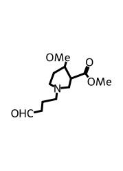 COC(=O)C1CN(CCCC=O)CCC1OC